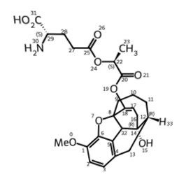 COc1ccc2c3c1OC14CCC[C@H](C2)[C@](O)(CC=C1OC(=O)[C@H](C)OC(=O)CC[C@H](N)C(=O)O)C34